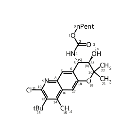 CCCCCOC(=O)N[C@H]1c2cc3nc(Cl)c(C(C)(C)C)c(C)c3cc2OC(C)(C)[C@@H]1O